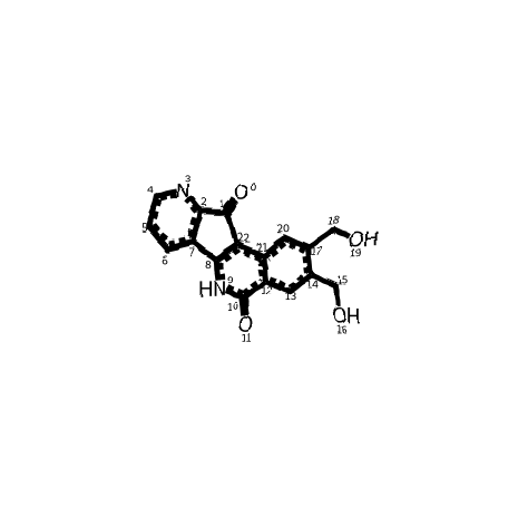 O=C1c2ncccc2-c2[nH]c(=O)c3cc(CO)c(CO)cc3c21